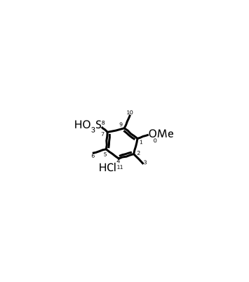 COc1c(C)cc(C)c(S(=O)(=O)O)c1C.Cl